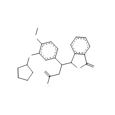 COc1ccc(C(CC(=O)O)C2NC(=O)c3ccccc32)cc1OC1CCCC1